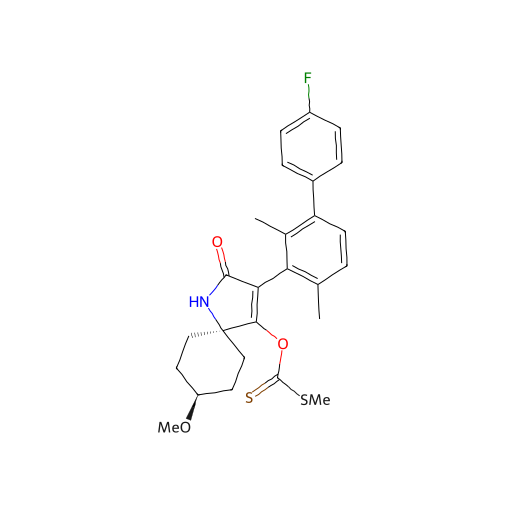 CO[C@H]1CC[C@]2(CC1)NC(=O)C(c1c(C)ccc(-c3ccc(F)cc3)c1C)=C2OC(=S)SC